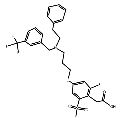 CS(=O)(=O)c1cc(OCCCN(CCc2ccccc2)Cc2cccc(C(F)(F)F)c2)cc(F)c1CC(=O)O